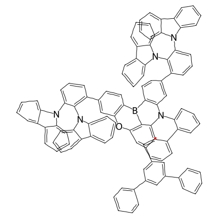 c1ccc(-c2cc(-c3ccccc3)cc(-c3cc4c5c(c3)N(c3ccccc3-c3ccccc3)c3cc(-c6cccc(-n7c8ccccc8c8ccccc87)c6-n6c7ccccc7c7ccccc76)ccc3B5c3ccc(-c5cccc(-n6c7ccccc7c7ccccc76)c5-n5c6ccccc6c6ccccc65)cc3O4)c2)cc1